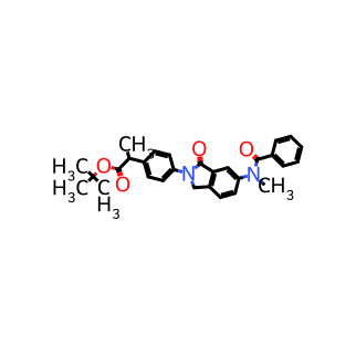 CC(C(=O)OC(C)(C)C)c1ccc(N2Cc3ccc(N(C)C(=O)c4ccccc4)cc3C2=O)cc1